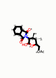 CC(=O)OCC1OC(O)C(N2C(=O)c3ccccc3C2=O)[C@@H](C)[C@@H]1C